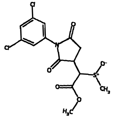 COC(=O)C(C1CC(=O)N(c2cc(Cl)cc(Cl)c2)C1=O)[S+](C)[O-]